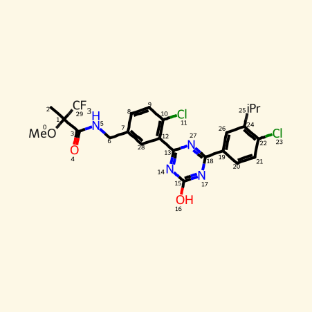 COC(C)(C(=O)NCc1ccc(Cl)c(-c2nc(O)nc(-c3ccc(Cl)c(C(C)C)c3)n2)c1)C(F)(F)F